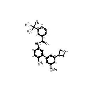 COc1cc(-c2cc(NC(=O)c3ccnc(C(C)(C)C#N)c3)ccc2C)cc(C2COC2)c1